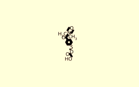 CC(C)(C(=O)c1ccc(SCOC(=O)CO)cc1)N1CCOCC1